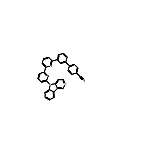 N#Cc1ccc(-c2cccc(-c3cccc(-c4cccc(-n5c6ccccc6c6cnccc65)n4)n3)c2)cc1